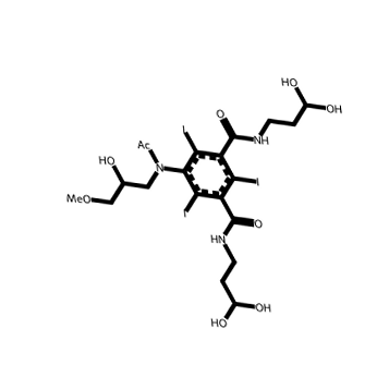 COCC(O)CN(C(C)=O)c1c(I)c(C(=O)NCCC(O)O)c(I)c(C(=O)NCCC(O)O)c1I